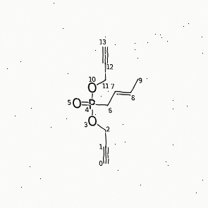 C#CCOP(=O)(CC=CC)OCC#C